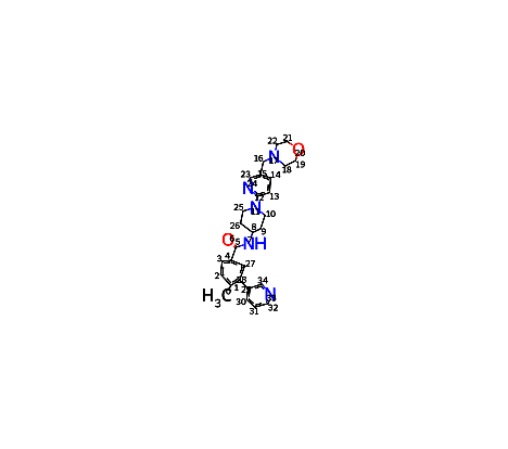 Cc1ccc(C(=O)NC2CCN(c3ccc(CN4CCOCC4)cn3)CC2)cc1-c1cccnc1